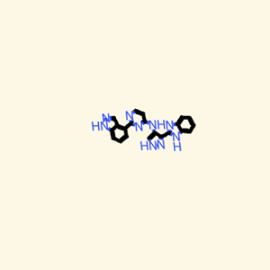 c1ccc2[nH]c(-c3n[nH]cc3Nc3ccnc(-c4cccc5[nH]ncc45)n3)nc2c1